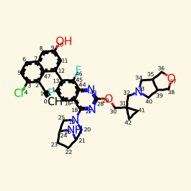 C#Cc1c(Cl)ccc2cc(O)cc(-c3c(F)cc4c(N5CC6CCC(C5)N6)nc(OCC5(CN6CC7COCC7C6)CC5)nc4c3F)c12